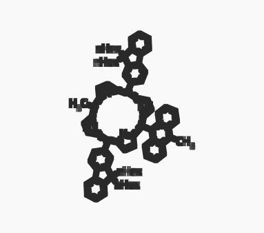 CCCCCCC1(CCCCCC)c2ccccc2-c2ccc(-c3c4nc(c(-c5c6ccccc6c(C)c6ccccc56)c5ccc([nH]5)c(-c5ccc6c(c5)C(CCCCCC)(CCCCCC)c5ccccc5-6)c5nc(c(C)c6ccc3[nH]6)C=C5)C=C4)cc21